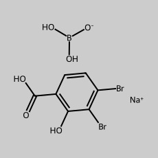 O=C(O)c1ccc(Br)c(Br)c1O.[Na+].[O-]B(O)O